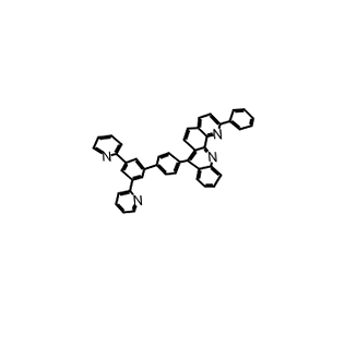 c1ccc(-c2ccc3ccc4c(-c5ccc(-c6cc(-c7ccccn7)cc(-c7ccccn7)c6)cc5)c5ccccc5nc4c3n2)cc1